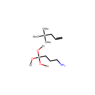 C=CC[Si](OC)(OC)OC.CCO[Si](CCCN)(OCC)OCC